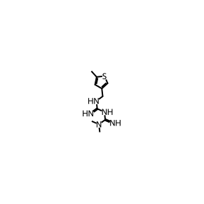 Cc1cc(CNC(=N)NC(=N)N(C)C)cs1